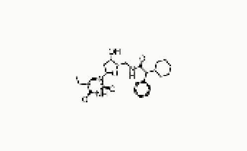 CCc1cn([C@H]2C[C@H](O)[C@@H](CNC(=O)C(c3ccccc3)C3CCCCC3)O2)c(=O)[nH]c1=O